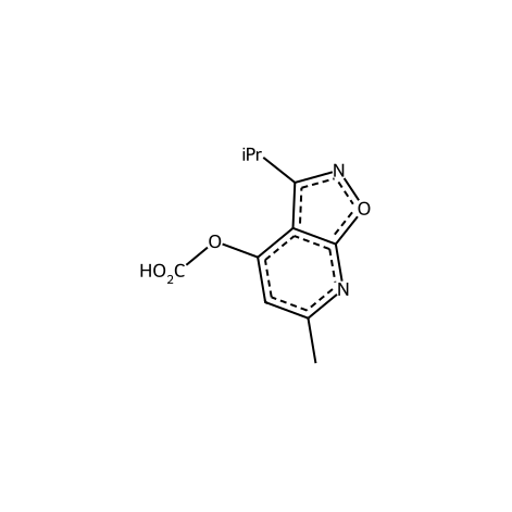 Cc1cc(OC(=O)O)c2c(C(C)C)noc2n1